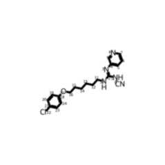 N#CN/C(=N\c1cccnc1)NCCCCCCOc1ccc(Cl)cc1